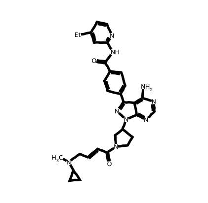 CCc1ccnc(NC(=O)c2ccc(-c3nn(C4CCN(C(=O)C=CCN(C)C5CC5)C4)c4ncnc(N)c34)cc2)c1